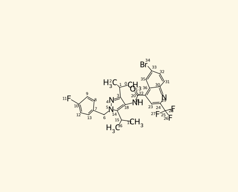 CC(C)c1nn(Cc2ccc(F)cc2)c(C(C)C)c1NC(=O)c1cc(C(F)(F)F)nc2ccc(Br)cc12